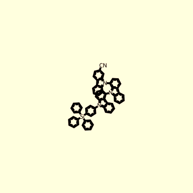 N#Cc1ccc2c3ccccc3n(-c3cccc4c5ccccc5n(-c5cccc6c5c5ccccc5n6-c5ccc([Si](c6ccccc6)(c6ccccc6)c6ccccc6)cc5)c34)c2c1